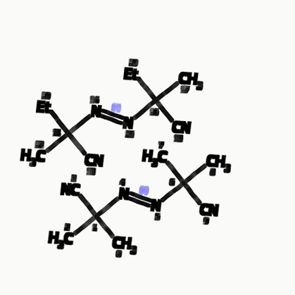 CC(C)(C#N)/N=N/C(C)(C)C#N.CCC(C)(C#N)/N=N/C(C)(C#N)CC